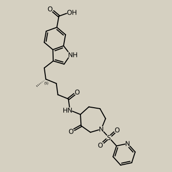 C[C@@H](CCC(=O)NC1CCCN(S(=O)(=O)c2ccccn2)CC1=O)Cc1c[nH]c2cc(C(=O)O)ccc12